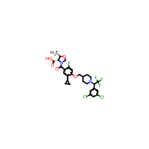 C[C@H]1OCN(C(=O)c2cc(C3CC3)c(OCC3CCN(C(c4cc(Cl)cc(Cl)c4)C(F)(F)F)CC3)cc2F)[C@@H]1C(=O)O